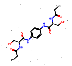 CC(C)CC(=O)N[C@@H](CO)C(=O)Nc1ccc(NC(=O)[C@H](CO)NC(=O)CC(C)C)cc1